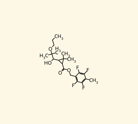 CCCOC(C)(C)C(O)C1C(C(=O)OCc2c(F)c(F)c(C)c(F)c2F)C1(C)C